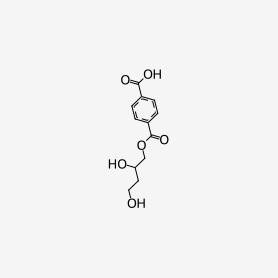 O=C(O)c1ccc(C(=O)OCC(O)CCO)cc1